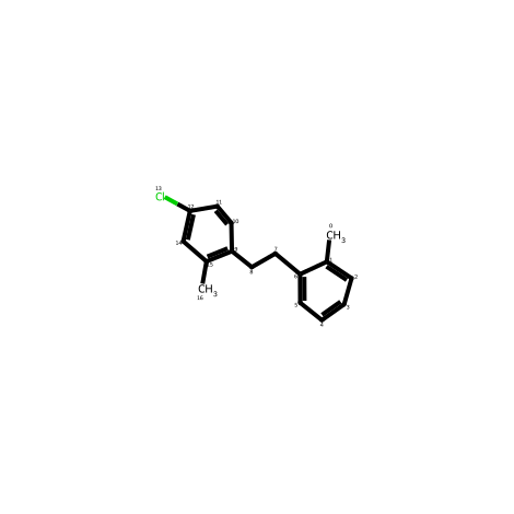 Cc1ccccc1CCc1ccc(Cl)cc1C